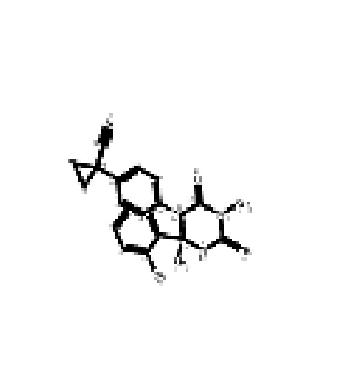 CN1C(=N)N[C@](C)(c2ccccc2O)[C@@H](c2ccc(C3(C#N)CC3)cc2)C1=O